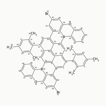 Cc1cc(C)c(-c2cc3c4c(cc5c(-c6c(C)cc(C)cc6C)cc6c7c(cc2c4c57)B2c4ccccc4Oc4cc(Br)cc-6c42)B2c4ccccc4Oc4cc(Br)cc-3c42)c(C)c1